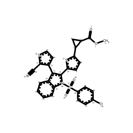 COC(=O)C1CC1c1ccc(-c2c(-c3ccsc3C#N)c3ccccc3n2S(=O)(=O)c2ccc(Cl)cc2)s1